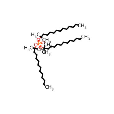 CCCCCCCCCCCCC(C)(C)OP(=O)(OC(C)(C)CCCCCCCCCCCC)OC(C)(C)CCCCCCCCCCCC